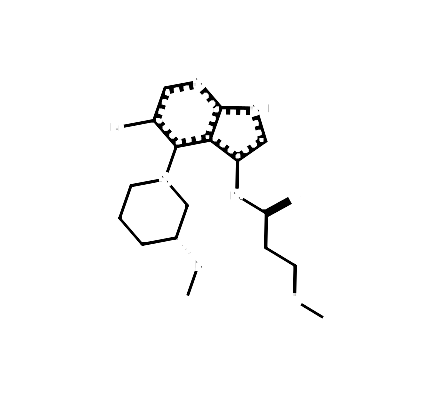 CN[C@@H]1CCCN(c2c(Br)cnc3[nH]cc(NC(=O)CCOC)c23)C1